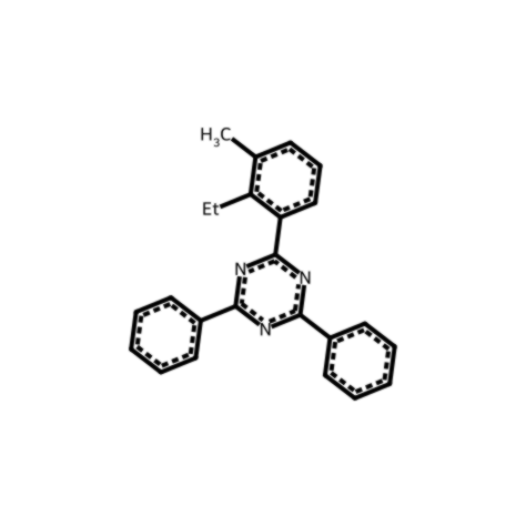 CCc1c(C)cccc1-c1nc(-c2ccccc2)nc(-c2ccccc2)n1